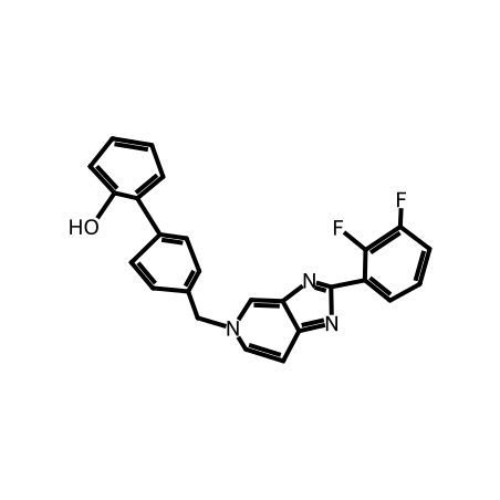 Oc1ccccc1-c1ccc(Cn2ccc3nc(-c4cccc(F)c4F)nc-3c2)cc1